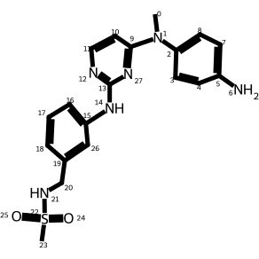 CN(c1ccc(N)cc1)c1ccnc(Nc2cccc(CNS(C)(=O)=O)c2)n1